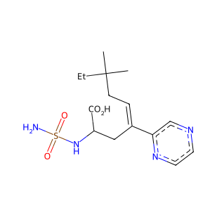 CCC(C)(C)CC=C(CC(NS(N)(=O)=O)C(=O)O)c1cnccn1